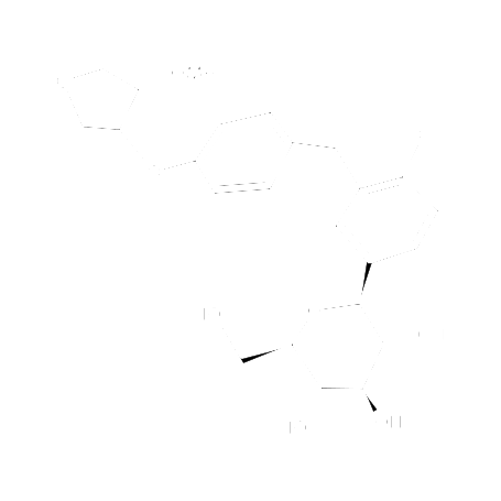 CO[C@H]1COCC1Oc1ccc(Cc2cc([C@@H]3O[C@H](CO)[C@@H](O)[C@H](O)[C@H]3O)ccc2Cl)cc1